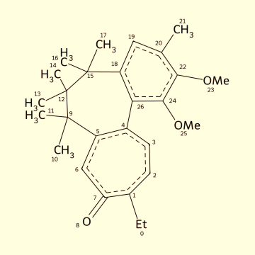 CCc1ccc2c(cc1=O)C(C)(C)C(C)(C)C(C)(C)c1cc(C)c(OC)c(OC)c1-2